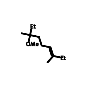 CC/C(C)=C/CCC(C)(CC)OC